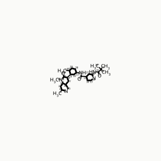 Cc1cc2c(cn1)cc(-c1cc(NC(=O)c3ccnc(NC(=O)C(C)(C)C)c3)ccc1C)c(=O)n2C